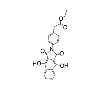 CCOC(=O)Cc1ccc(N2C(=O)c3c(c(O)c4ccccc4c3O)C2=O)cc1